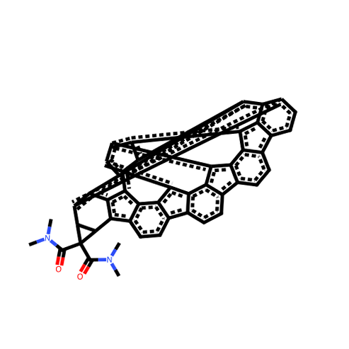 CN(C)C(=O)C1(C(=O)N(C)C)C2c3c4ccc5c6ccc7c8ccc9c%10ccc%11c(c%12c3c3c4c5c4c6c7c5c8c9c6c%10c%11c%12c7c3c4c5c67)C21